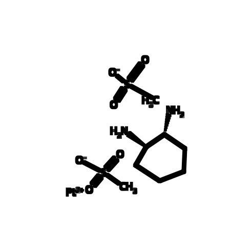 CS(=O)(=O)[O-].CS(=O)(=O)[O-].N[C@@H]1CCCC[C@H]1N.[Pt+2]